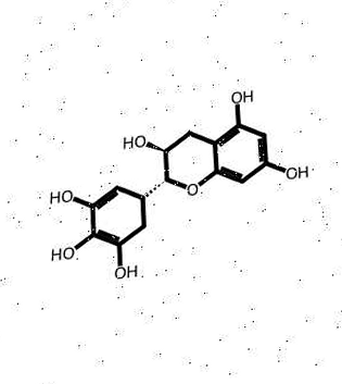 OC1=CC([C@H]2Oc3cc(O)cc(O)c3C[C@@H]2O)CC(O)=C1O